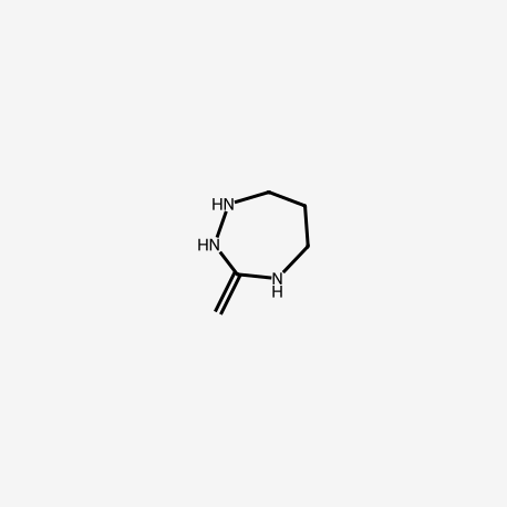 C=C1NCCCNN1